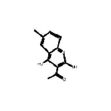 CC(=O)c1c(S)nc2ccc(C)cc2c1O